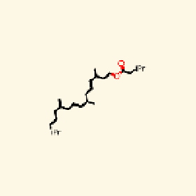 CC(C)CCCC(C)CCCC(C)CCCC(C)CCOC(=O)CC(C)C